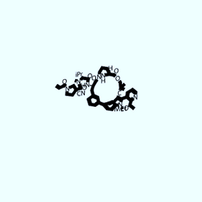 C=CC(=O)N1CC[C@](C#N)(C(=O)N(C)[C@H](C(=O)N[C@H]2Cc3cccc(c3)-c3ccc4c(c3)c(c(-c3cccnc3[C@H](C)OC)n4CC)CC(C)(C)COC(=O)[C@@H]3CCCN(N3)C2=O)C(C)C)C1